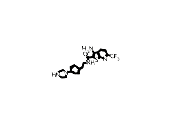 Nc1c(C(=O)NCCc2ccc(N3CCNCC3)cc2)sc2nc(C(F)(F)F)ccc12